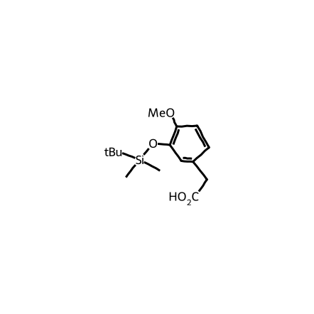 COc1ccc(CC(=O)O)cc1O[Si](C)(C)C(C)(C)C